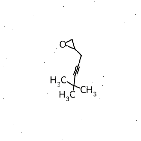 CC(C)(C)C#CCC1CO1